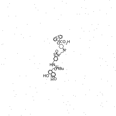 CN(CCCn1c(=O)sc2cc(CNC[C@H](O[Si](C)(C)C(C)(C)C)c3ccc(O)c4[nH]c(=O)ccc34)ccc21)[C@H]1CC[C@H](OC(C(=O)O)(c2cccs2)c2cccs2)CC1